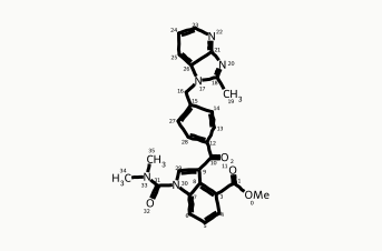 COC(=O)c1cccc2c1c(C(=O)c1ccc(Cn3c(C)nc4ncccc43)cc1)cn2C(=O)N(C)C